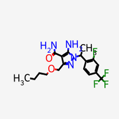 CCCCOCc1nn(C(C)c2ccc(C(F)(F)F)cc2F)c(N)c1C(N)=O